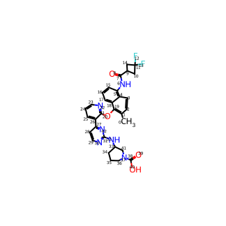 Cc1ccc2c(NC(=O)C3CC(F)(F)C3)cccc2c1Oc1ncccc1-c1ccnc(NC2CCCN(C(=O)O)C2)n1